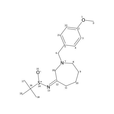 COc1ccc(CN2CCCCC(=N[S+]([O-])C(C)(C)C)C2)cc1